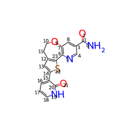 NC(=O)c1cnc2c(c1)OCCc1cc(-c3ccc[nH]c3=O)sc1-2